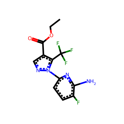 CCOC(=O)c1cnn(-c2ccc(F)c(N)n2)c1C(F)(F)F